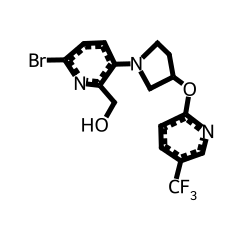 OCc1nc(Br)ccc1N1CCC(Oc2ccc(C(F)(F)F)cn2)C1